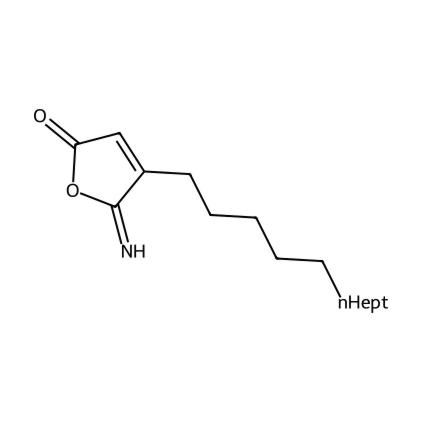 CCCCCCCCCCCCC1=CC(=O)OC1=N